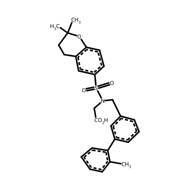 Cc1ccccc1-c1cccc(CN(CC(=O)O)S(=O)(=O)c2ccc3c(c2)CCC(C)(C)O3)c1